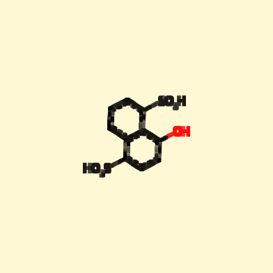 O=S(=O)(O)c1ccc(O)c2c(S(=O)(=O)O)cccc12